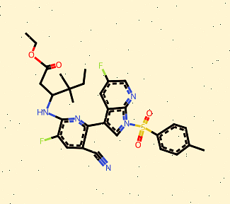 CCOC(=O)CC(Nc1nc(-c2cn(S(=O)(=O)c3ccc(C)cc3)c3ncc(F)cc23)c(C#N)cc1F)C(C)(C)CC